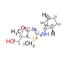 CC(CO)[C@]1(C)SC(N[C@H]2C[C@@H]3CC[C@H]2C3)=NC1=O